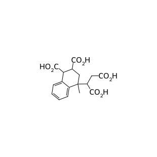 CC1(C(CC(=O)O)C(=O)O)CC(C(=O)O)C(C(=O)O)c2ccccc21